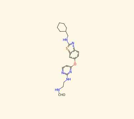 O=CNCCNc1nccc(Oc2ccc3nc(NCC4CCCCC4)sc3c2)n1